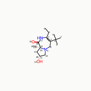 CCC1=C(C(C)(C)C)CN2C[C@H](O)C[C@H]2C(=O)N1